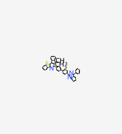 CC1(C)c2ccccc2-c2c1c(-c1ccc(-c3ccc(-c4nc(-c5ccccc5)c5ccccc5n4)cc3)cc1)nc1c2sc2ccccc21